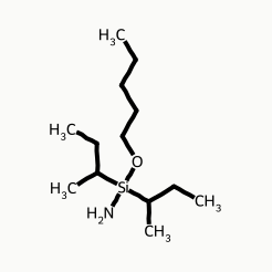 CCCCCO[Si](N)(C(C)CC)C(C)CC